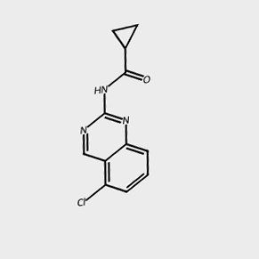 O=C(Nc1ncc2c(Cl)cccc2n1)C1CC1